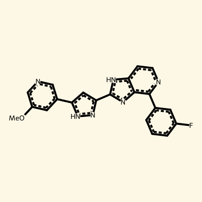 COc1cncc(-c2cc(-c3nc4c(-c5cccc(F)c5)nccc4[nH]3)n[nH]2)c1